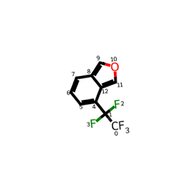 FC(F)(F)C(F)(F)c1cccc2[c]occ12